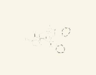 COC[C@]1(COP(=O)(N[C@@H](Cc2ccccc2)C(=O)OC(C)C)Oc2ccccc2)C(=O)[C@H]2CCN1[C@H](C)C2